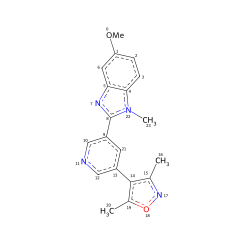 COc1ccc2c(c1)nc(-c1cncc(-c3c(C)noc3C)c1)n2C